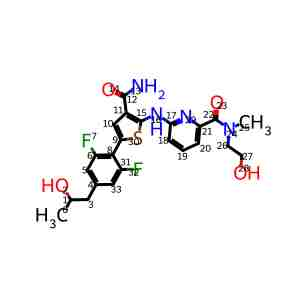 CC(O)Cc1cc(F)c(-c2cc(C(N)=O)c(Nc3cccc(C(=O)N(C)CCO)n3)s2)c(F)c1